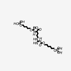 N=C(NCCCC(NC(=O)OCCCCCON(O)O)C(=O)O)NC(=O)OCCCCCCON(O)O